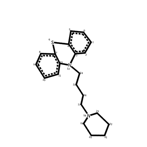 c1ccc2c(c1)Sc1ccccc1N2CCCCN1CCCCC1